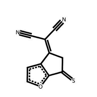 N#CC(C#N)=C1CC(=S)c2occc21